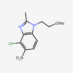 COCCn1c(C)nc2c(Cl)c([N+](=O)[O-])ccc21